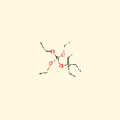 CC[O][Ti]([O]CC)([O]CC)[O][Si](CC)(CC)CC